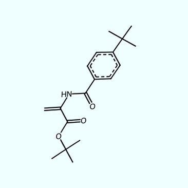 C=C(NC(=O)c1ccc(C(C)(C)C)cc1)C(=O)OC(C)(C)C